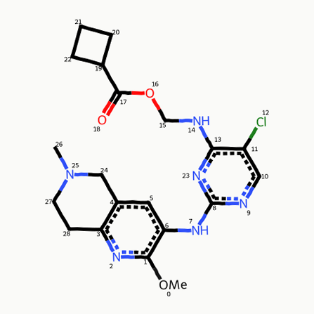 COc1nc2c(cc1Nc1ncc(Cl)c(NCOC(=O)C3CCC3)n1)CN(C)CC2